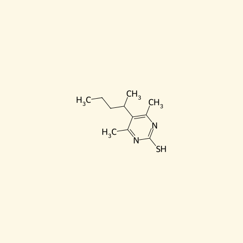 CCCC(C)c1c(C)nc(S)nc1C